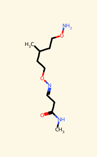 CNC(=O)C/C=N/OCCC(C)CCON